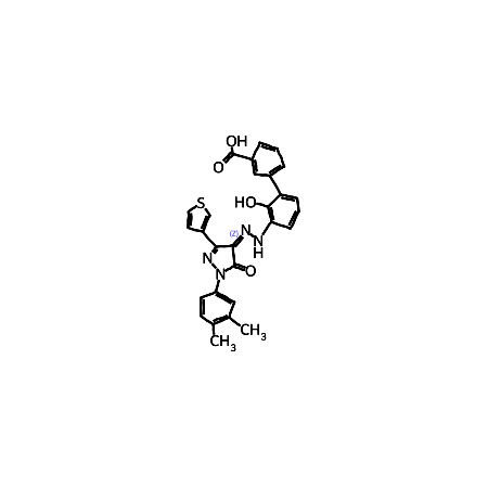 Cc1ccc(N2N=C(c3ccsc3)/C(=N/Nc3cccc(-c4cccc(C(=O)O)c4)c3O)C2=O)cc1C